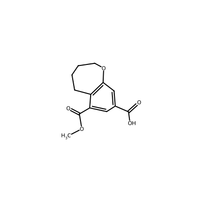 COC(=O)c1cc(C(=O)O)cc2c1CCCCO2